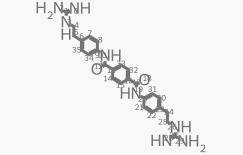 N=C(N)NCCc1ccc(NC(=O)c2ccc(C(=O)Nc3ccc(CCNC(=N)N)cc3)cc2)cc1